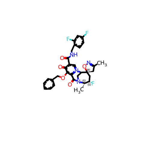 CC1=NO[C@]2(C1)C[C@H](F)[C@H](C)N1CC2n2cc(C(=O)NCc3ccc(F)cc3F)c(=O)c(OCc3ccccc3)c2C1=O